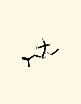 C=C(C)CN[C@@H](CC)C(F)(F)F